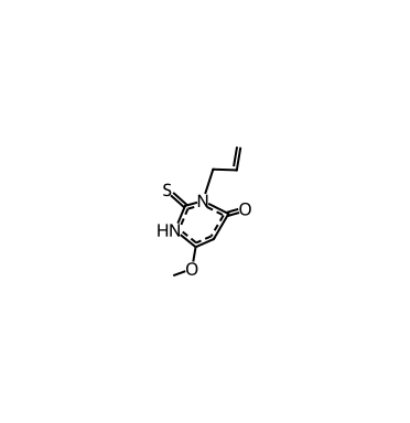 C=CCn1c(=O)cc(OC)[nH]c1=S